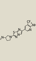 Nc1ncc(-c2cn3nc(N4CCC(N)C4)sc3n2)cc1C(F)(F)F